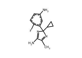 CC1=NC(c2cc(N)ccc2F)(C2CC2)N=C1N